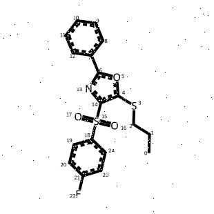 CCCSc1oc(-c2ccccc2)nc1S(=O)(=O)c1ccc(F)cc1